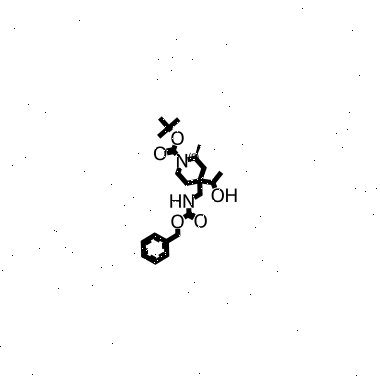 CC(O)C1(CNC(=O)OCc2ccccc2)CCN(C(=O)OC(C)(C)C)[C@@H](C)C1